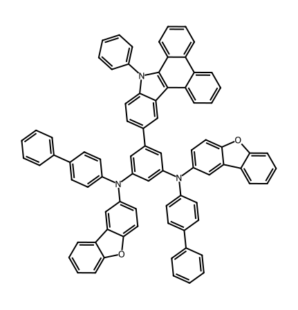 c1ccc(-c2ccc(N(c3cc(-c4ccc5c(c4)c4c6ccccc6c6ccccc6c4n5-c4ccccc4)cc(N(c4ccc(-c5ccccc5)cc4)c4ccc5oc6ccccc6c5c4)c3)c3ccc4oc5ccccc5c4c3)cc2)cc1